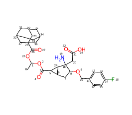 CC(OC(=O)C1C2CC(OCc3ccc(F)cc3)C(N)(CC(=O)O)C21)OC(=O)C12CC3CC(CC(C3)C1)C2